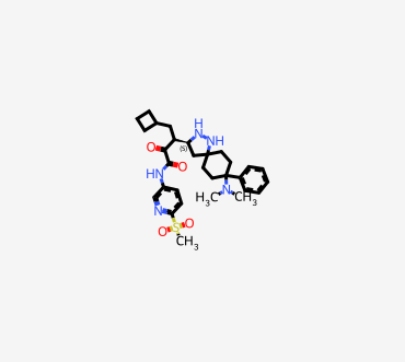 CN(C)C1(c2ccccc2)CCC2(CC1)C[C@@H](C(CC1CCC1)C(=O)C(=O)Nc1ccc(S(C)(=O)=O)nc1)NN2